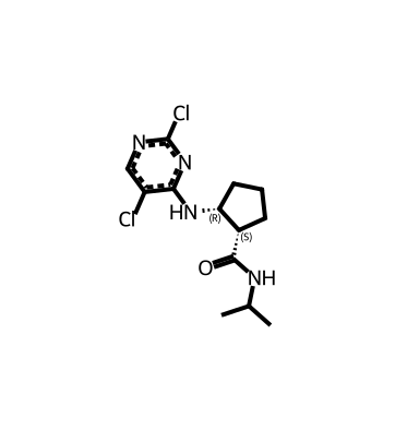 CC(C)NC(=O)[C@H]1CCC[C@H]1Nc1nc(Cl)ncc1Cl